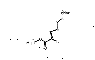 CCCCCCCCCCCCC=C(F)C(=O)OCCCCCCC